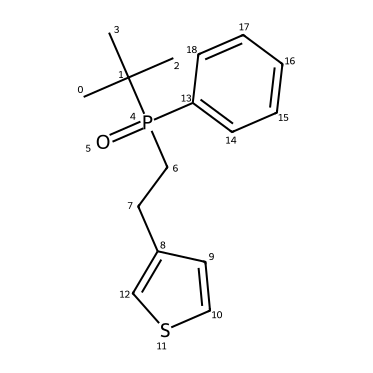 CC(C)(C)P(=O)(CCc1ccsc1)c1ccccc1